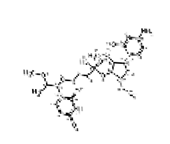 COC(C)[C@@H](OCCOP(=O)(S)OC1C(OC)[C@H](n2ccc(N)nc2=O)O[C@@H]1CO)n1ccc(=O)[nH]c1=O